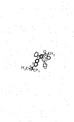 Cc1nc(C)c(-c2ccc3cc(-c4c(CC(=O)N5CCOCC5)cc(C(=O)N(C)C5(C(=O)O)CCCC5)cc4C4CCCCC4)ccc3n2)s1